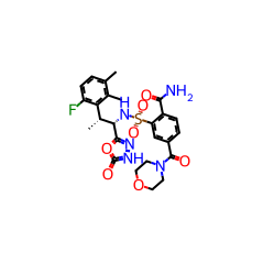 Cc1ccc(F)c([C@@H](C)[C@H](NS(=O)(=O)c2cc(C(=O)N3CCOCC3)ccc2C(N)=O)c2n[nH]c(=O)o2)c1C